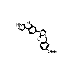 CCc1cc(-n2ccn(Cc3cccc(OC)c3)c2=O)ccc1-c1cn[nH]c1